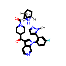 CC(C)n1nccc1-c1cc(F)ccc1-n1cc(C(=O)C2CCN(C(=O)[C@H]3N[C@@H]4CC[C@H]3C4)CC2)c2ccncc21